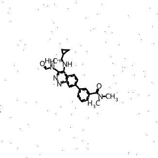 C[C@@H](Nc1c(NC=O)nnc2cc(-c3cccc(C(=O)N(C)C)c3)ccc12)C1CC1